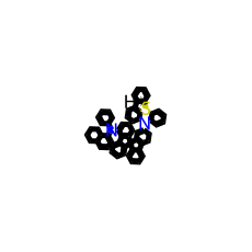 C1=CCC(N(C2=CCCC3=C2c2ccccc2C32C3=C(CCC(N(C4C=CC=CC4)C4CC=CC5=C4SC4C=CC=C[C@@H]54)=C3)c3ccccc32)C2=CC=CC3CCCCC23)C=C1